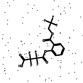 O=C(OCC(F)(F)F)c1ccccc1OC(=O)C(F)(F)C(F)(F)C(=O)O